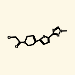 Cn1cnc(-c2ccc(C3=CCN(C(=O)CCl)CC3)s2)n1